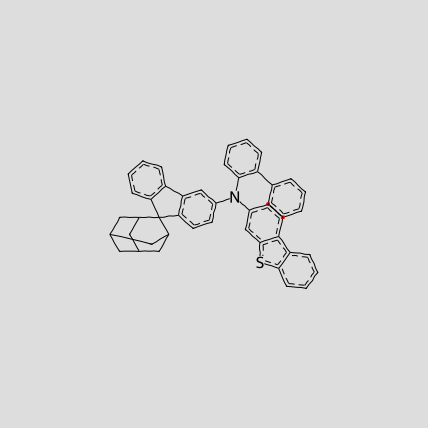 c1ccc(-c2ccccc2N(c2ccc3c(c2)-c2ccccc2C32C3CC4CC(C3)CC2C4)c2ccc3c(c2)sc2ccccc23)cc1